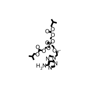 CC(C)COC(=O)OCOP(=O)(CO[C@H](C)Cn1cnc2c(N)ncnc21)OCOC(=O)OCC(C)C